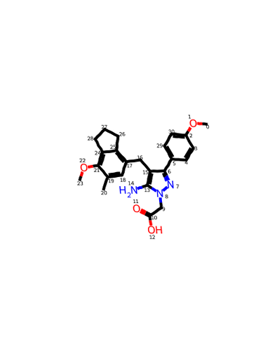 COc1ccc(-c2nn(CC(=O)O)c(N)c2Cc2cc(C)c(OC)c3c2CCC3)cc1